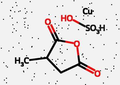 CC1CC(=O)OC1=O.O=S(=O)(O)O.[Cu]